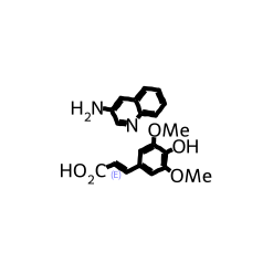 COc1cc(/C=C/C(=O)O)cc(OC)c1O.Nc1cnc2ccccc2c1